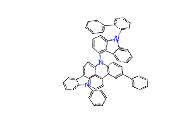 c1ccc(-c2ccc(N(c3ccc4c5ccccc5n(-c5ccccc5)c4c3)c3cccc4c3c3ccccc3n4-c3ccccc3-c3ccccc3)c(-c3ccccc3)c2)cc1